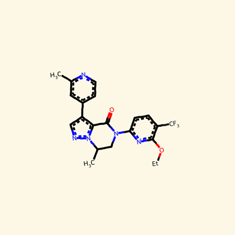 CCOc1nc(N2CC(C)n3ncc(-c4ccnc(C)c4)c3C2=O)ccc1C(F)(F)F